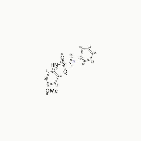 COc1ccc(NS(=O)(=O)/C=C/c2ccccc2)cc1